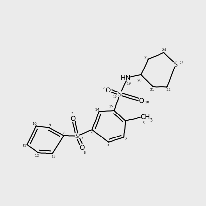 Cc1ccc(S(=O)(=O)c2ccccc2)cc1S(=O)(=O)NC1CCSCC1